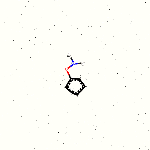 CC(=O)N(Oc1ccccc1)C(C)C